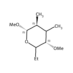 CCC1O[C@H](OC)[C@@H](C)C(C)[C@@H]1OC